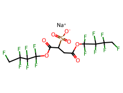 O=C(CC(C(=O)OC(F)(F)C(F)(F)C(F)(F)CF)S(=O)(=O)[O-])OC(F)(F)C(F)(F)C(F)(F)CF.[Na+]